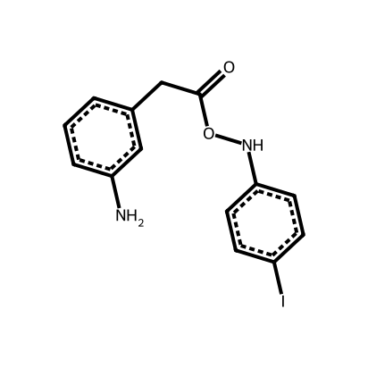 Nc1cccc(CC(=O)ONc2ccc(I)cc2)c1